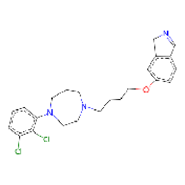 Clc1cccc(N2CCCN(CCCCOc3ccc4c(c3)CN=C4)CC2)c1Cl